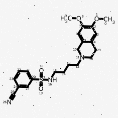 COc1cc2c(cc1OC)CN(CCCCNS(=O)(=O)c1cccc(C#N)c1)CC2